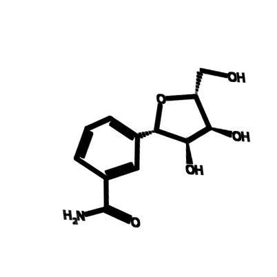 NC(=O)c1cccc([C@@H]2O[C@H](CO)[C@@H](O)[C@H]2O)c1